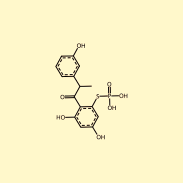 CC(C(=O)c1c(O)cc(O)cc1SP(=O)(O)O)c1cccc(O)c1